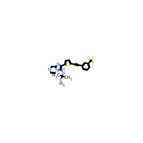 CC(C)(C)Nc1c(-c2ccc(C#Cc3cccc(C(F)(F)F)c3)s2)nc2cnccn12